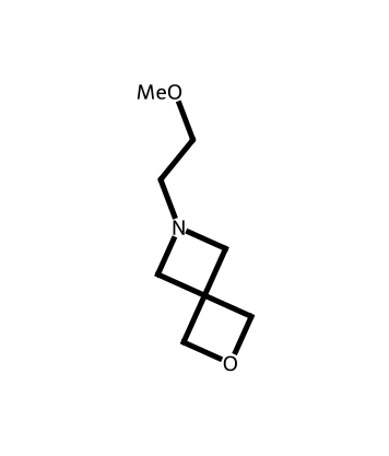 COCCN1CC2(COC2)C1